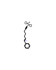 CS(=O)(=O)C#CCCC/C=C/c1ccccc1